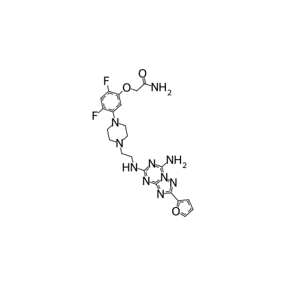 NC(=O)COc1cc(N2CCN(CCNc3nc(N)n4nc(-c5ccco5)nc4n3)CC2)c(F)cc1F